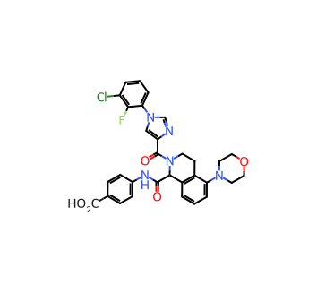 O=C(O)c1ccc(NC(=O)C2c3cccc(N4CCOCC4)c3CCN2C(=O)c2cn(-c3cccc(Cl)c3F)cn2)cc1